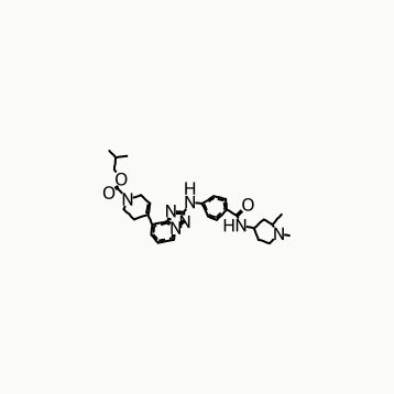 CC(C)COC(=O)N1CC=C(c2cccn3nc(Nc4ccc(C(=O)NC5CCN(C)C(C)C5)cc4)nc23)CC1